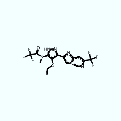 CCSc1c(-c2cn3cnc(C(F)(F)F)cc3n2)n[nH]c1N(C)C(=O)C(F)(F)F